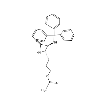 CC(=O)OCCC[C@@H]1NC(=O)[C@H]1NC(c1ccccc1)(c1ccccc1)c1ccccc1